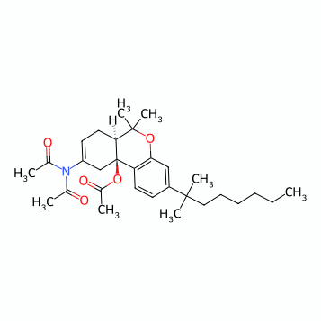 CCCCCCC(C)(C)c1ccc2c(c1)OC(C)(C)[C@@H]1CC=C(N(C(C)=O)C(C)=O)C[C@@]21OC(C)=O